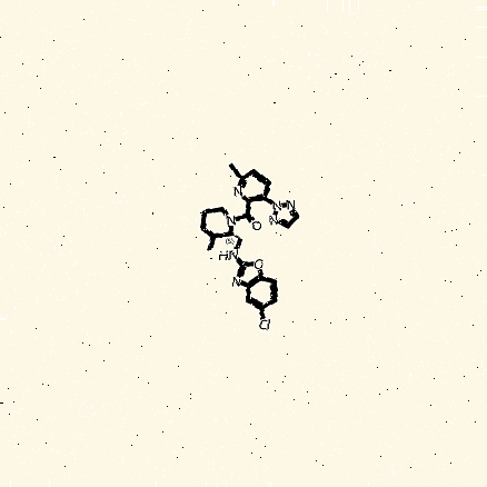 Cc1ccc(-n2nccn2)c(C(=O)N2CCCC(C)[C@H]2CNc2nc3cc(Cl)ccc3o2)n1